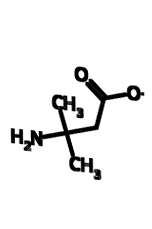 CC(C)(N)CC([O])=O